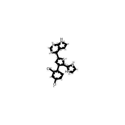 Clc1ccc(-c2cc(-c3ncnc4[nH]ccc34)sc2-c2ncc[nH]2)c(Cl)c1